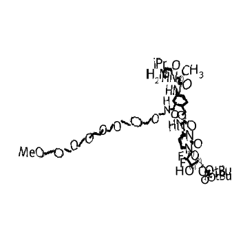 COCCOCCOCCOCCOCCOCCOCCOCCNC(=O)c1cc(NC(=O)[C@@H](C)NC(=O)[C@@H](N)C(C)C)ccc1COC(=O)Nc1ccn([C@@H]2O[C@H](COP(=O)(OC(C)(C)C)OC(C)(C)C)[C@@H](O)C2(F)F)c(=O)n1